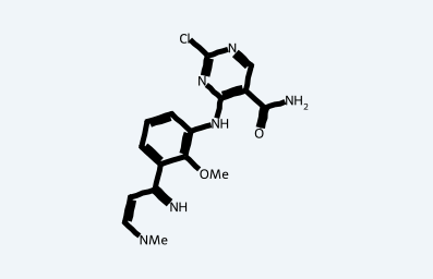 CN/C=C\C(=N)c1cccc(Nc2nc(Cl)ncc2C(N)=O)c1OC